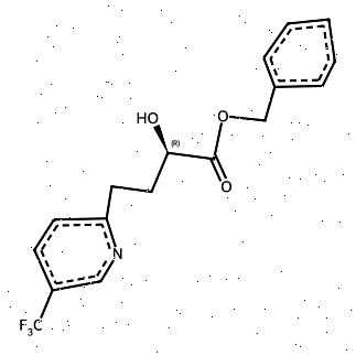 O=C(OCc1ccccc1)[C@H](O)CCc1ccc(C(F)(F)F)cn1